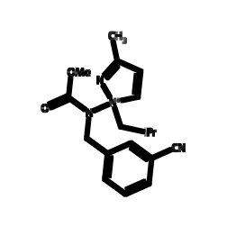 COC(=O)N(Cc1cccc(C#N)c1)[N+]1(CC(C)C)C=CC(C)=N1